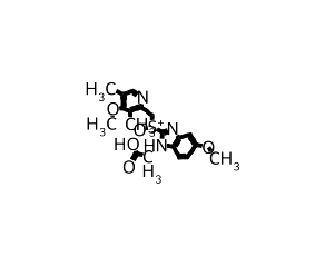 CC(=O)O.COc1ccc2[nH]c([S+]([O-])Cc3ncc(C)c(OC)c3C)nc2c1